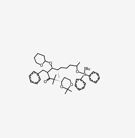 CC(CCC[C@H](C)[C@H](OC1CCCCO1)C(Cc1ccccc1)C(=O)C(C)(C)[C@@H]1CCOC(C)(C)O1)O[Si](c1ccccc1)(c1ccccc1)C(C)(C)C